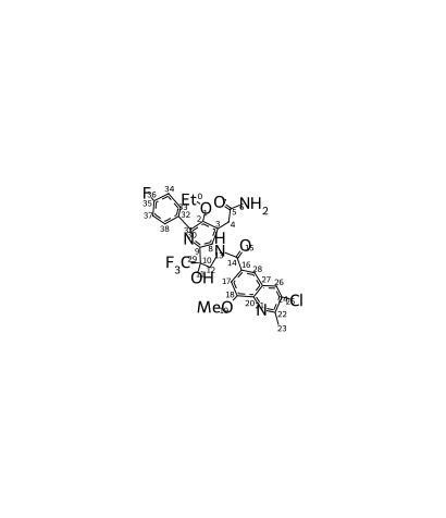 CCOc1c(CC(N)=O)cc([C@@](O)(CNC(=O)c2cc(OC)c3nc(C)c(Cl)cc3c2)C(F)(F)F)nc1-c1ccc(F)cc1